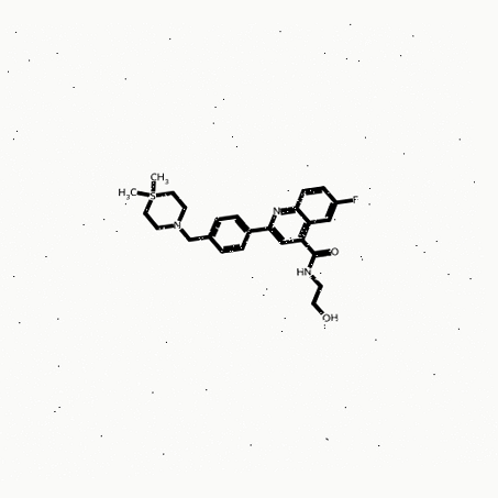 CS1(C)CCN(Cc2ccc(-c3cc(C(=O)NCCO)c4cc(F)ccc4n3)cc2)CC1